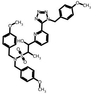 COc1ccc(CN(Cc2ccc(OC)cc2)S(=O)(=O)C(C)C(O)c2cccc(-c3nnnn3Cc3ccc(OC)cc3)n2)cc1